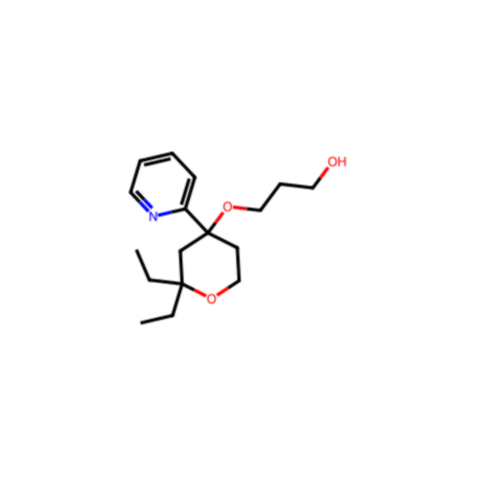 CCC1(CC)CC(OCCCO)(c2ccccn2)CCO1